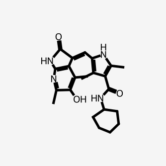 Cc1nc2c(c(C)c1O)C(=Cc1[nH]c(C)c(C(=O)NC3CCCCC3)c1C)C(=O)N2